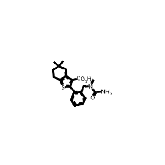 CN(Cc1ccccc1-c1sc2c(c1C(=O)O)CC(C)(C)CC2)C(N)=O